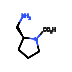 NC[C@@H]1CCCN1C(=O)O